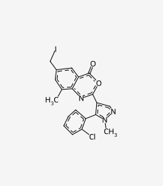 Cc1cc(CI)cc2c(=O)oc(-c3cnn(C)c3-c3ccccc3Cl)nc12